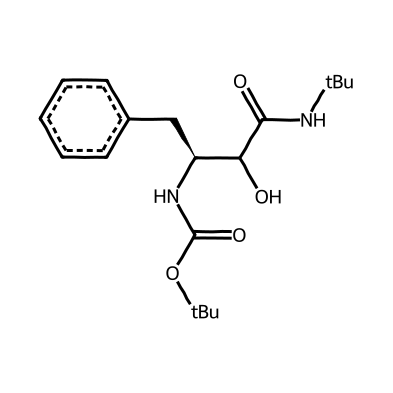 CC(C)(C)NC(=O)C(O)[C@H](Cc1ccccc1)NC(=O)OC(C)(C)C